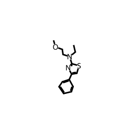 CCN(CCOC)c1nc(-c2ccccc2)cs1